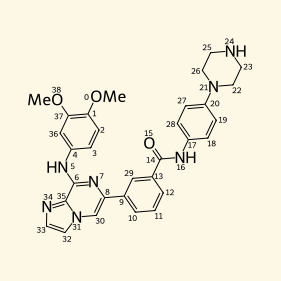 COc1ccc(Nc2nc(-c3cccc(C(=O)Nc4ccc(N5CCNCC5)cc4)c3)cn3ccnc23)cc1OC